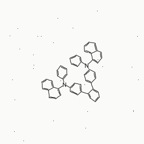 c1ccc(N(c2ccc(-c3ccccc3-c3ccc(N(c4ccccc4)c4cccc5ccccc45)cc3)cc2)c2cccc3ccccc23)cc1